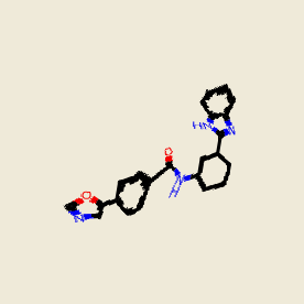 O=C(NC1CCCC(c2nc3ccccc3[nH]2)C1)c1ccc(-c2cnco2)cc1